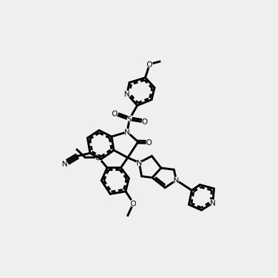 CCOc1ccc(OC)cc1C1(N2CC3=CN(c4ccncc4)CC3C2)C(=O)N(S(=O)(=O)c2ccc(OC)cn2)c2ccc(C#N)cc21